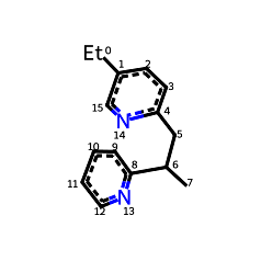 CCc1ccc(CC(C)c2ccccn2)nc1